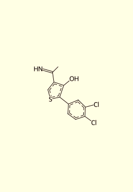 CC(=N)c1csc(-c2ccc(Cl)c(Cl)c2)c1O